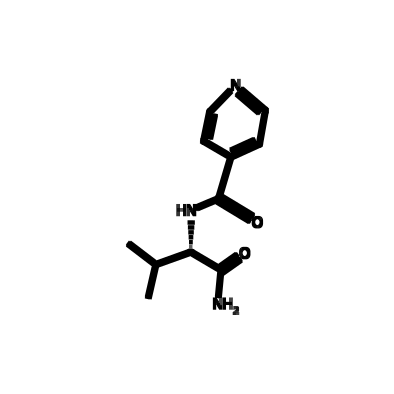 CC(C)[C@H](NC(=O)c1ccncc1)C(N)=O